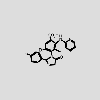 CCc1cc(C(=O)O)c(Nc2ccccn2)c(C)c1N1C(=O)CSC1c1ccc(F)cc1